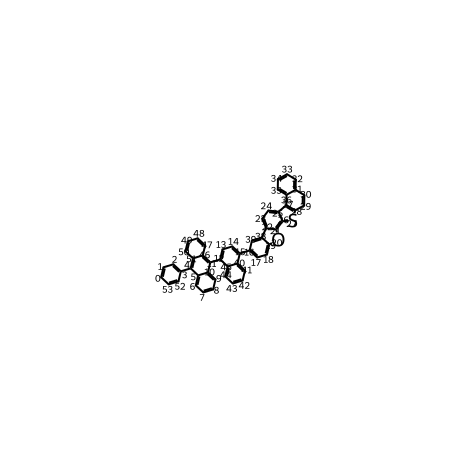 c1ccc(-c2c3ccccc3c(-c3ccc(-c4ccc5oc6c(ccc7c6sc6ccc8ccccc8c67)c5c4)c4ccccc34)c3ccccc23)cc1